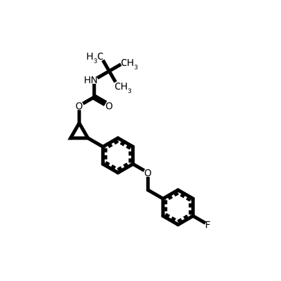 CC(C)(C)NC(=O)OC1CC1c1ccc(OCc2ccc(F)cc2)cc1